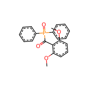 COc1cccc(OC)c1C(=O)P(=O)(c1ccccc1)c1ccccc1